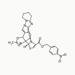 CC(=O)OC(c1cn2c(n1)nc1n2CCCC1)C1(Br)C(=O)N2C(C(=O)OCc3ccc([N+](=O)[O-])cc3)=CS[C@@H]21